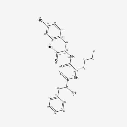 CCCC[C@H](NC(=O)C(S)Cc1ccccc1)C(=O)N[C@@H](Cc1ccc(O)cc1)C(=O)O